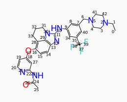 CCN1CCN(Cc2cc(Nc3nc4ccc(Oc5ccnc(NC(C)=O)c5)c5c4n3CCC5)cc(C(F)(F)F)c2)CC1